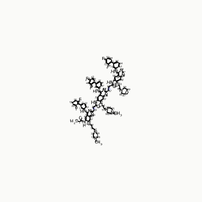 C=CC(=O)Nc1cc2c(Nc3cccc(-c4c(F)cccc4F)c3)nc(/C=C/C(=O)Nc3cc4c(Nc5cccc(-c6ccc(F)cc6F)c5)nc(/C=C/C(=O)Nc5cc6c(Nc7cccc(-c8ccc(F)cc8F)c7)ncnc6cc5OCCN5CCOCC5)nc4cc3OCCN3CCN(C)CC3)nc2cc1OCCCN1CCN(C)CC1